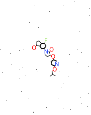 CC(C)COc1ccc(OC2CCN(c3cc(F)c4c(c3)C(=O)CC4)C2=O)cn1